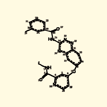 CNC(=O)c1cc(Oc2ccc3nnc(NC(=O)c4cccc(C)c4)nc3c2)ccn1